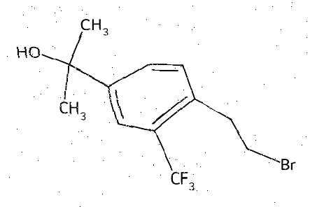 CC(C)(O)c1ccc(CCBr)c(C(F)(F)F)c1